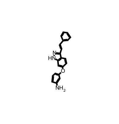 Nc1cccc(Oc2ccc3c(C=Cc4ccccc4)n[nH]c3c2)c1